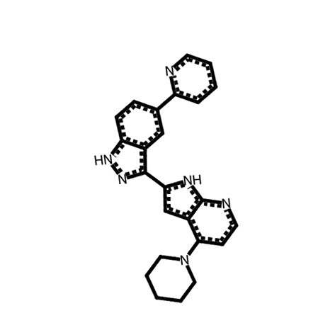 c1ccc(-c2ccc3[nH]nc(-c4cc5c(N6CCCCC6)ccnc5[nH]4)c3c2)nc1